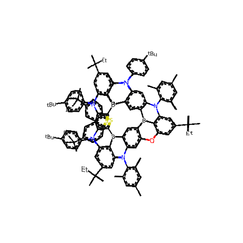 CCC(C)(C)c1cc2c3c(c1)N(c1c(C)cc(C)cc1C)c1cc4c(cc1B3c1cc3c(cc1O2)N(c1c(C)cc(C)cc1C)c1cc(C(C)(C)CC)cc2c1B3c1sc3ccc(C(C)(C)CC)cc3c1N2c1ccc(C(C)(C)C)cc1)B1c2sc3ccc(C(C)(C)CC)cc3c2N(c2ccc(C(C)(C)C)cc2)c2cc(C(C)(C)CC)cc(c21)N4c1ccc(C(C)(C)C)cc1